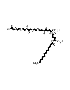 CC(C)C(=O)COCCOCCNC(=O)COCCOCCNC(=O)CC[C@H](NC(=O)CC[C@H](NC(=O)CCCCCCCCCCCCC(=O)O)C(=O)O)C(=O)O